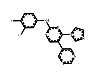 Fc1ccc(Nc2ncc(-c3cncnc3)c(-n3ccnc3)n2)cc1Cl